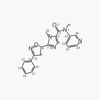 CN(C(=O)c1cnc(C2CC(c3ccccc3)=NO2)n1C)c1cccnc1